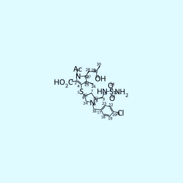 CC(=O)N1C(C(=O)O)=C(S[C@H]2C[C@@H](CNS(N)(=O)=O)N(Cc3ccc(Cl)cc3)C2)[C@H](C)[C@@H]1C[C@@H](C)O